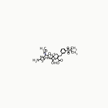 CO/N=C(\C(=O)N[C@@H]1C(=O)N2C(C(=O)O)=C(Cc3cccc(S(=O)(=O)N(C)C)c3)CS[C@H]12)c1csc(N)n1